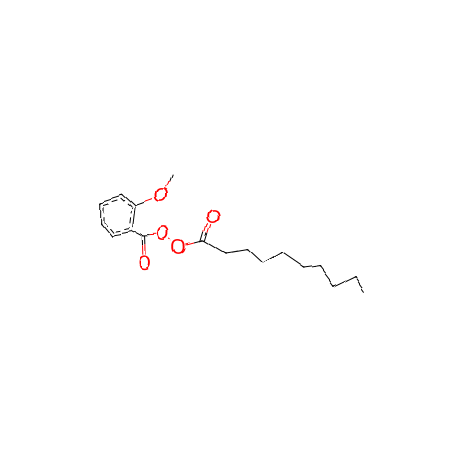 CCCCCCCCCC(=O)OOC(=O)c1ccccc1OC